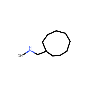 O=NNCC1CCCCCCCC1